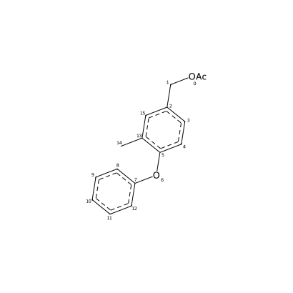 CC(=O)OCc1ccc(Oc2ccccc2)c(C)c1